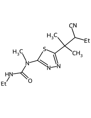 CCNC(=O)N(C)c1nnc(C(C)(C)C(C#N)CC)s1